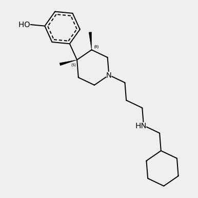 C[C@H]1CN(CCCNCC2CCCCC2)CC[C@]1(C)c1cccc(O)c1